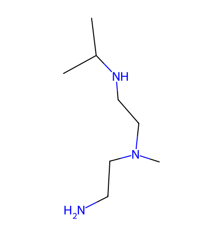 CC(C)NCCN(C)CCN